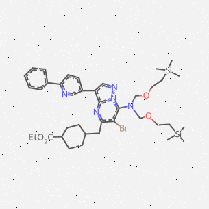 CCOC(=O)C1CCC(Cc2nc3c(-c4ccc(-c5ccccc5)nc4)cnn3c(N(COCC[Si](C)(C)C)COCC[Si](C)(C)C)c2Br)CC1